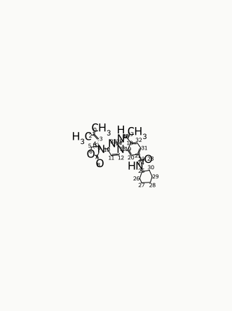 CC(C)=C[C@H]1COC(=O)N1c1ccnc(N[C@@H](C)c2ccc(C(=O)NC3CCCCC3)cc2)n1